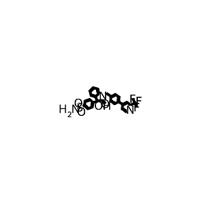 NS(=O)(=O)c1ccc(C2(O)C(=O)N(Cc3ccc(-c4ccnc(C(F)(F)F)c4)cc3)c3ccccc32)cc1